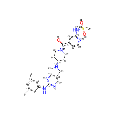 Cc1cc(C)cc(Nc2ncc3c(n2)CN(C2CCN(C(=O)c4ccnc(NS(C)(=O)=O)c4)CC2)C3)c1